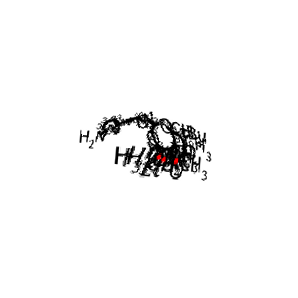 CC[C@H]1OC(=O)[C@H](C)C(=O)[C@H](C)[C@@H](C(C)(C)C)[C@@]2(C)C[C@@H](C)/C(=N\C(C)=O)[C@H](C)[C@@H](OC/C(=N\OCC#Cc3cccc(N)n3)CO2)[C@]1(C)O